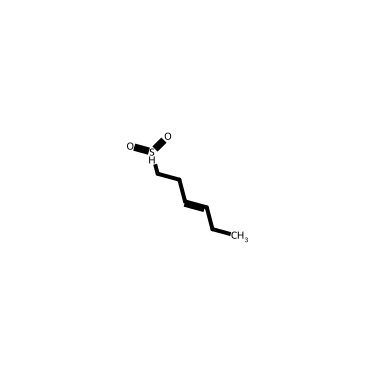 CCC=CCC[SH](=O)=O